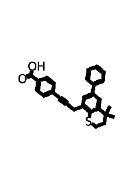 CC1(C)CCSc2c(CC#Cc3ccc(C(=O)O)cc3)cc(-c3ccccc3)cc21